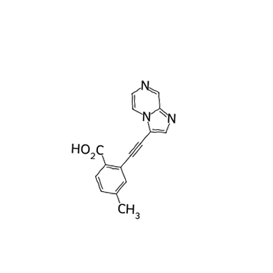 Cc1ccc(C(=O)O)c(C#Cc2cnc3cnccn23)c1